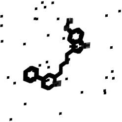 CCOc1ccc2[nH]cc(CSCCC3CC(c4ccccc4)=CCN3)c2c1